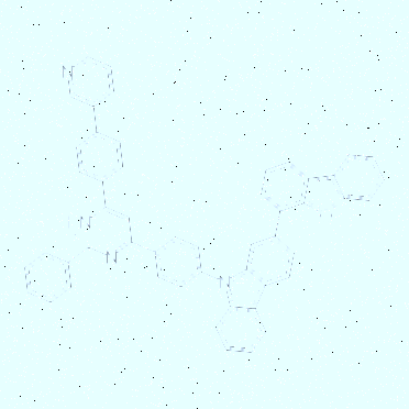 N/C(=C\C(=N/Cc1ccccc1)c1ccc(-n2c3ccccc3c3ccc(-c4cccc5c4oc4ccccc45)cc32)cc1)c1ccc(-c2cccnc2)cc1